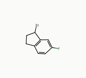 CCC1CCc2ccc(F)cc21